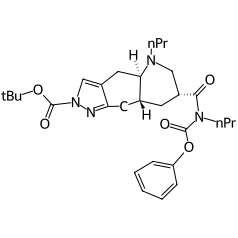 CCCN(C(=O)Oc1ccccc1)C(=O)[C@@H]1C[C@@H]2Cc3nn(C(=O)OC(C)(C)C)cc3C[C@H]2N(CCC)C1